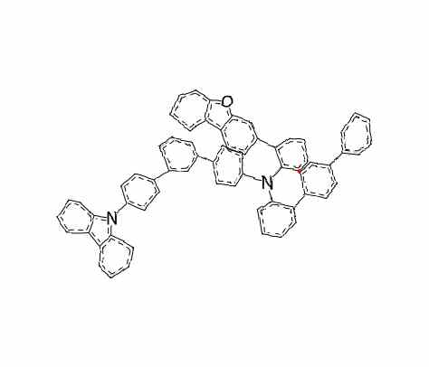 c1ccc(-c2ccc(-c3ccccc3N(c3ccc(-c4cccc(-c5ccc(-n6c7ccccc7c7ccccc76)cc5)c4)cc3)c3ccccc3-c3ccc4c(c3)oc3ccccc34)cc2)cc1